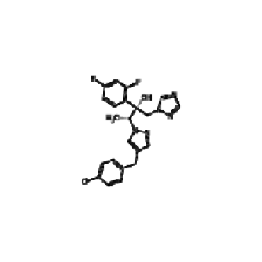 C[C@@H](n1cc(Cc2ccc(Cl)cc2)cn1)[C@](O)(Cn1cncn1)c1ccc(F)cc1F